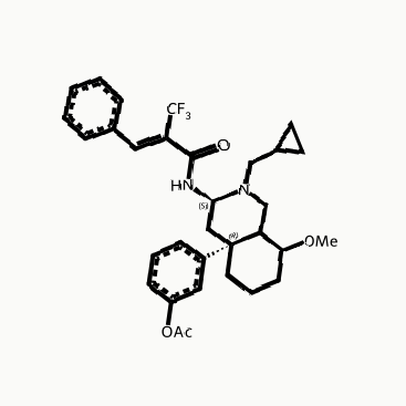 COC1CCC[C@@]2(c3cccc(OC(C)=O)c3)C[C@@H](NC(=O)C(=Cc3ccccc3)C(F)(F)F)N(CC3CC3)CC12